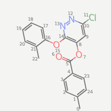 Cc1ccc(C(=O)Oc2cc(Cl)nnc2Oc2ccccc2C)cc1